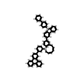 C1=CC(N2C/C=C\C=C/Cc3cc(-c4ccc5c(c4)c4ccccc4n5-c4ccc(-c5ccccc5)cc4)ccc32)CC(c2ccc3c4ccccc4c4ccccc4c3c2)=C1